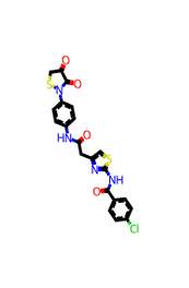 O=C(Cc1csc(NC(=O)c2ccc(Cl)cc2)n1)Nc1ccc(N2SCC(=O)C2=O)cc1